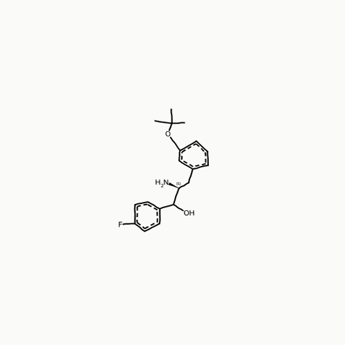 CC(C)(C)Oc1cccc(C[C@H](N)C(O)c2ccc(F)cc2)c1